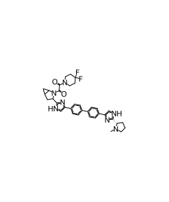 CN1CCC[C@H]1c1nc(-c2ccc(-c3ccc(-c4c[nH]c(C5CC6CC6N5C(=O)C(=O)N5CCC(F)(F)CC5)n4)cc3)cc2)c[nH]1